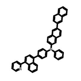 c1ccc(N(c2ccc(-c3ccc(-c4ccccn4)c4ccccc34)cc2)c2ccc3cc(-c4ccc5ccccc5c4)ccc3c2)cc1